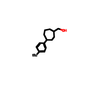 CC(C)(C)c1ccc(C2CCCC(CO)CC2)cc1